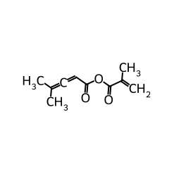 C=C(C)C(=O)OC(=O)C=C=C(C)C